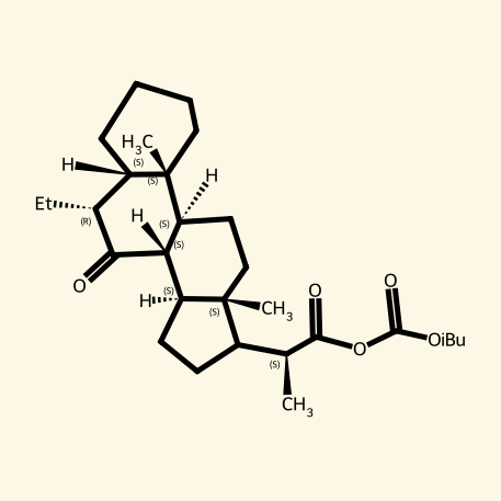 CC[C@H]1C(=O)[C@@H]2[C@H](CC[C@]3(C)C([C@H](C)C(=O)OC(=O)OCC(C)C)CC[C@@H]23)[C@@]2(C)CCCC[C@@H]12